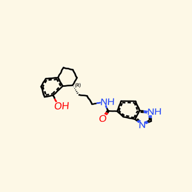 O=C(NCCC[C@H]1CCCc2cccc(O)c21)c1ccc2[nH]cnc2c1